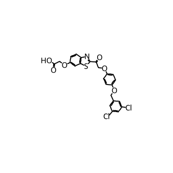 O=C(O)COc1ccc2nc(C(=O)COc3ccc(OCc4cc(Cl)cc(Cl)c4)cc3)sc2c1